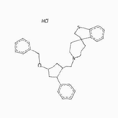 Cl.c1ccc(COC2CC(CN3CCC4(CC3)CSc3ccccc34)C(c3ccccc3)C2)cc1